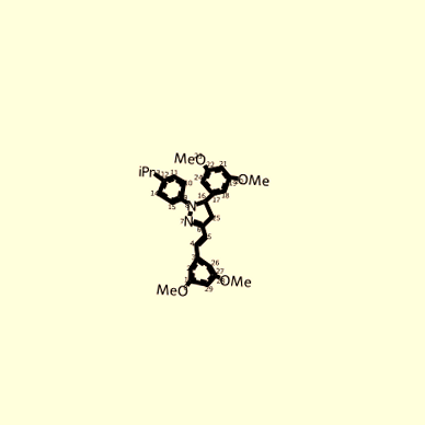 COc1cc(C=CC2=NN(c3ccc(C(C)C)cc3)C(c3cc(OC)cc(OC)c3)C2)cc(OC)c1